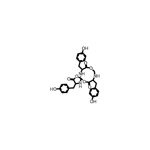 O=C1OCNC(Cc2ccc(O)cc2)C(=O)O[C@@]2(NC1Cc1ccc(O)cc1)NC(Cc1ccc(O)cc1)C(=O)O2